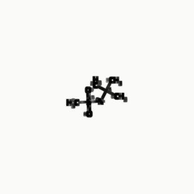 CC(C)(C)[N]S(C)(=O)=O